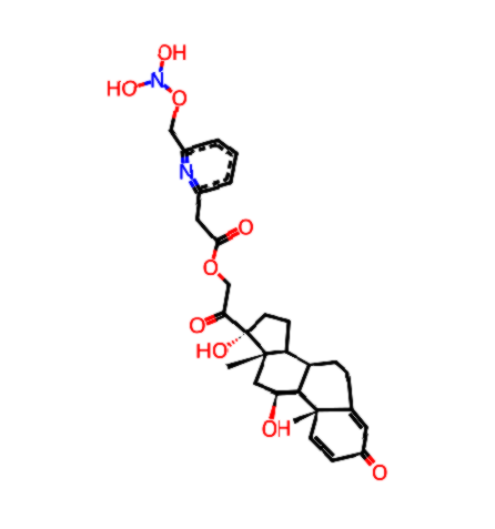 C[C@]12C=CC(=O)C=C1CCC1C2[C@@H](O)C[C@@]2(C)C1CC[C@]2(O)C(=O)COC(=O)Cc1cccc(CON(O)O)n1